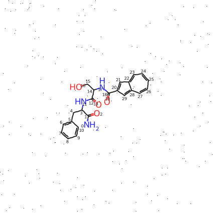 NC(=O)C(Cc1ccccc1)NC(=O)C(CO)NC(=O)c1cc2cccccc-2c1